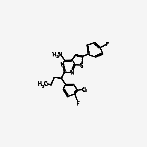 CCCC(c1ccc(F)c(Cl)c1)c1nc(N)c2cc(-c3ccc(F)cc3)sc2n1